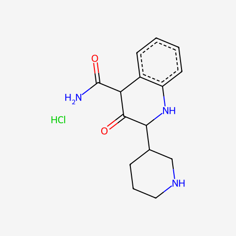 Cl.NC(=O)C1C(=O)C(C2CCCNC2)Nc2ccccc21